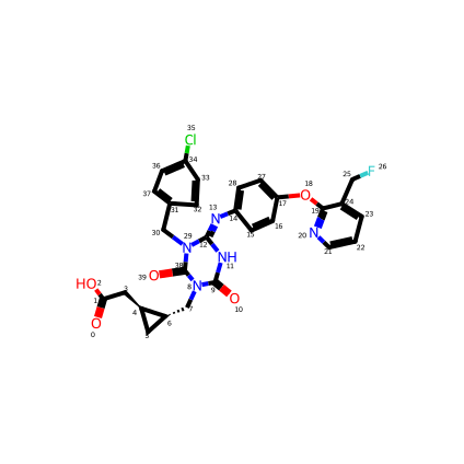 O=C(O)C[C@@H]1C[C@H]1Cn1c(=O)[nH]/c(=N\c2ccc(Oc3ncccc3CF)cc2)n(Cc2ccc(Cl)cc2)c1=O